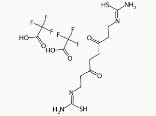 NC(S)=NCCC(=O)CCC(=O)CCN=C(N)S.O=C(O)C(F)(F)F.O=C(O)C(F)(F)F